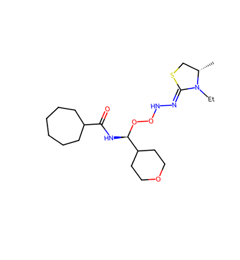 CCN1/C(=N/NOO[C@H](NC(=O)C2CCCCCC2)C2CCOCC2)SC[C@@H]1C